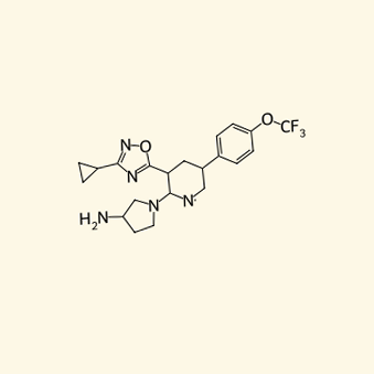 NC1CCN(C2[N]CC(c3ccc(OC(F)(F)F)cc3)CC2c2nc(C3CC3)no2)C1